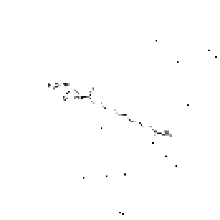 CNC(=O)CNC(=O)CCCCCCCCCCOC